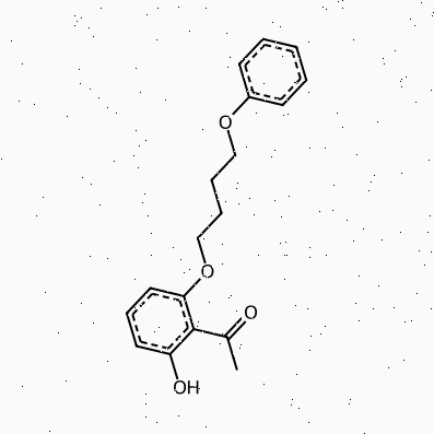 CC(=O)c1c(O)cccc1OCCCCOc1ccccc1